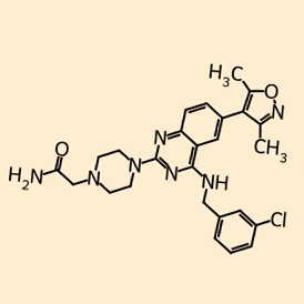 Cc1noc(C)c1-c1ccc2nc(N3CCN(CC(N)=O)CC3)nc(NCc3cccc(Cl)c3)c2c1